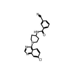 N#Cc1cccc(C(=O)NC2CCN(c3ncnc4cc(Cl)ccc34)CC2)c1